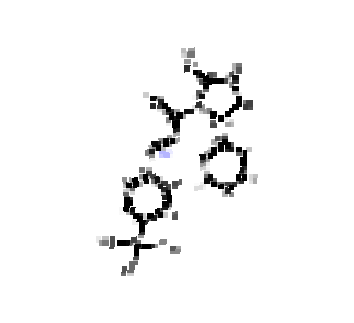 O=C(/C=C/c1ccc(C(F)(F)F)cc1)N1C(=O)OC[C@H]1c1ccccc1